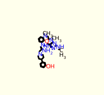 CCNc1ncc(C=O)c(N(C)CCN(C)c2cccc(N(N)/C=C(\N)CN3CCC(c4cccc(O)c4)CC3)c2)n1